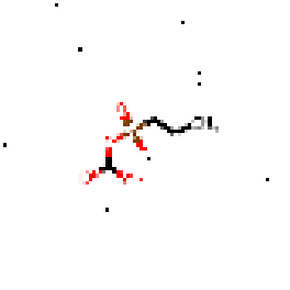 CCCS(=O)(=O)OC(O)O